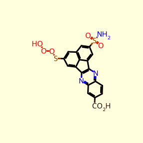 NS(=O)(=O)c1cc2c3c(cc(SOOO)cc3c1)-c1nc3cc(C(=O)O)ccc3nc1-2